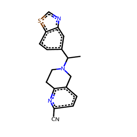 CC(c1ccc2scnc2c1)N1CCc2nc(C#N)ccc2C1